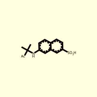 CC(=O)C(C)(C)Nc1ccc2ccc(S(=O)(=O)O)cc2c1